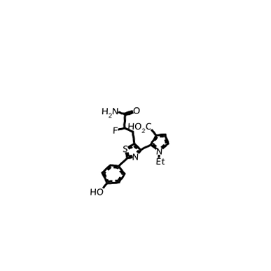 CCn1ccc(C(=O)O)c1-c1nc(-c2ccc(O)cc2)sc1CC(F)C(N)=O